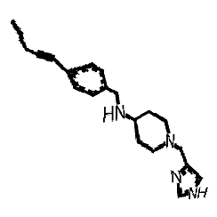 CCCC#Cc1ccc(CNC2CCN(Cc3c[nH]cn3)CC2)cc1